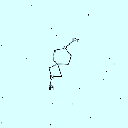 CC(C)N1CCC2(CC1)CN(C(C)C)C2